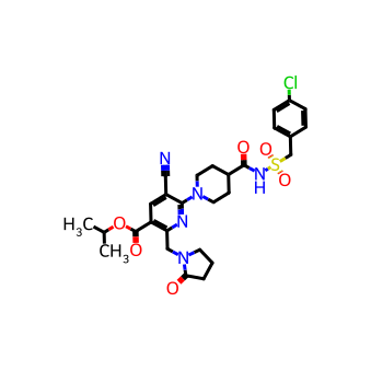 CC(C)OC(=O)c1cc(C#N)c(N2CCC(C(=O)NS(=O)(=O)Cc3ccc(Cl)cc3)CC2)nc1CN1CCCC1=O